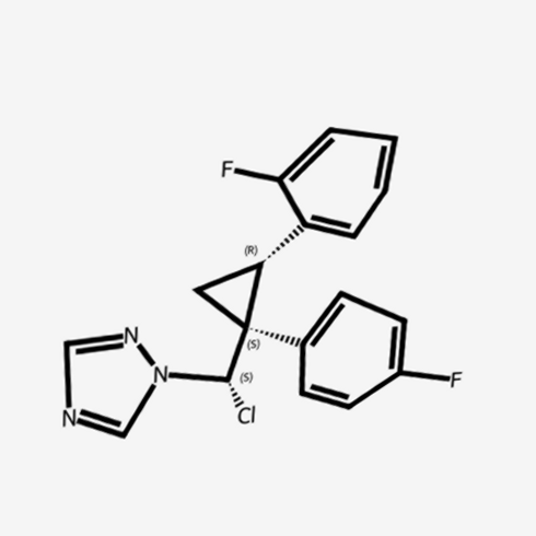 Fc1ccc([C@]2([C@H](Cl)n3cncn3)C[C@@H]2c2ccccc2F)cc1